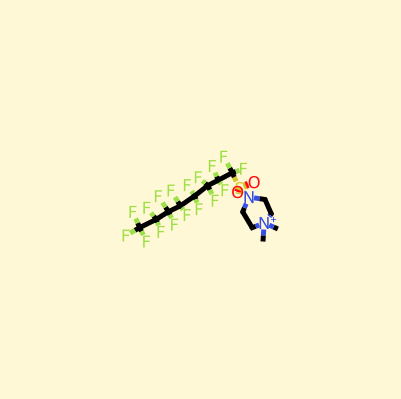 C[N+]1(C)CCN(S(=O)(=O)C(F)(F)C(F)(F)C(F)(F)C(F)(F)C(F)(F)C(F)(F)C(F)(F)C(F)(F)F)CC1